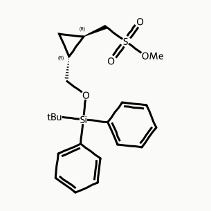 COS(=O)(=O)C[C@@H]1C[C@H]1CO[Si](c1ccccc1)(c1ccccc1)C(C)(C)C